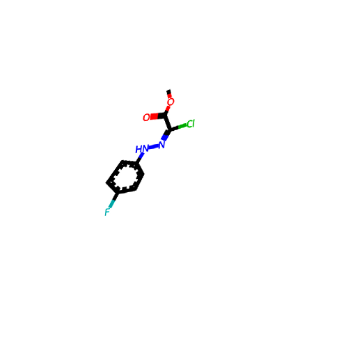 COC(=O)/C(Cl)=N\Nc1ccc(F)cc1